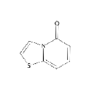 O=c1cccc2sccn12